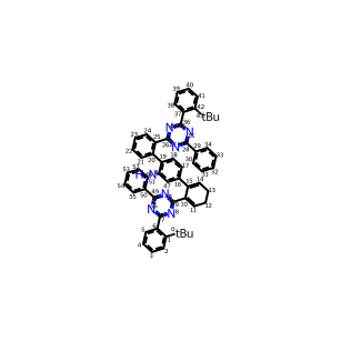 CC(C)(C)c1ccccc1-c1nc(C2=CCCC=C2c2ccc(-c3ccccc3-c3nc(-c4ccccc4)nc(-c4ccccc4C(C)(C)C)n3)c(N)c2)nc(-c2ccccc2)n1